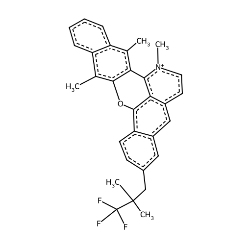 Cc1c2c(c(C)c3ccccc13)-c1c3c(c4ccc(CC(C)(C)C(F)(F)F)cc4cc3cc[n+]1C)O2